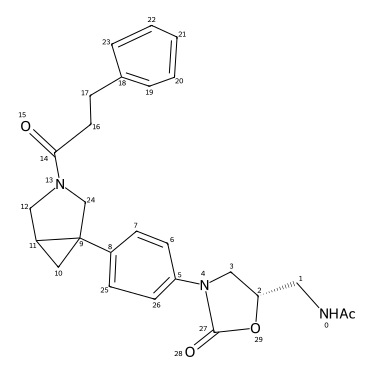 CC(=O)NC[C@H]1CN(c2ccc(C34CC3CN(C(=O)CCc3ccccc3)C4)cc2)C(=O)O1